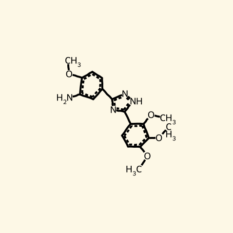 COc1ccc(-c2n[nH]c(-c3ccc(OC)c(OC)c3OC)n2)cc1N